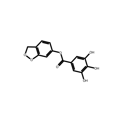 O=C(Oc1ccc2c(c1)OOC2)c1cc(O)c(O)c(O)c1